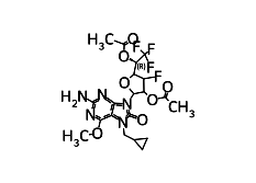 COc1nc(N)nc2c1n(CC1CC1)c(=O)n2C1OC([C@@H](OC(C)=O)C(F)(F)F)C(F)C1OC(C)=O